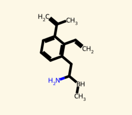 C=Cc1c(CC(N)BC)cccc1C(=C)C